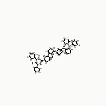 c1ccc(C2N=C(c3ccc4sc5c(-c6ccc7c(c6)oc6c(-n8c9ccccc9c9ccccc98)cccc67)cccc5c4c3)NC(c3ccccc3)N2)cc1